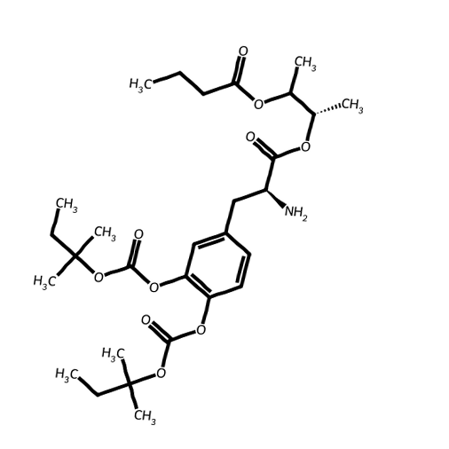 CCCC(=O)OC(C)[C@H](C)OC(=O)[C@@H](N)Cc1ccc(OC(=O)OC(C)(C)CC)c(OC(=O)OC(C)(C)CC)c1